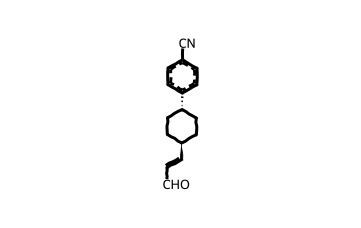 N#Cc1ccc([C@H]2CC[C@H](/C=C/C=O)CC2)cc1